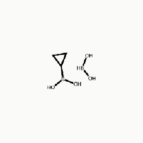 OB(O)C1CC1.OBO